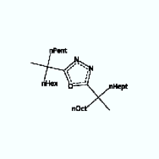 CCCCCCCCC(C)(CCCCCCC)c1nnc(C(C)(CCCCC)CCCCCC)o1